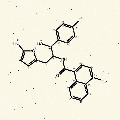 O=C(NC(Cc1ccc(C(F)(F)F)o1)C(O)c1ccc(F)cc1)c1ccc(F)c2ccccc12